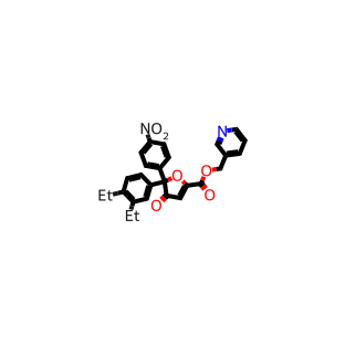 CCc1ccc(C2(c3ccc([N+](=O)[O-])cc3)OC(C(=O)OCc3cccnc3)=CC2=O)cc1CC